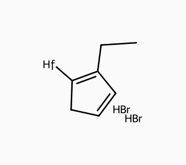 Br.Br.CCC1=[C]([Hf])CC=C1